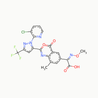 CON=C(C(=O)O)c1cc(C)c2nc(-c3cc(C(F)(F)F)nn3-c3ncccc3Cl)oc(=O)c2c1